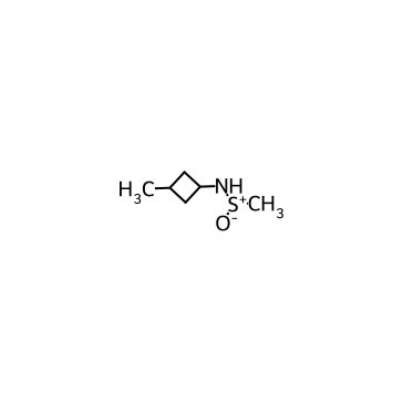 CC1CC(N[S+](C)[O-])C1